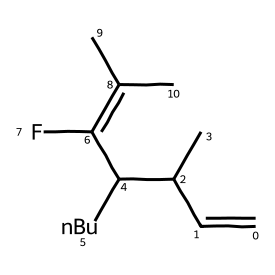 C=CC(C)C(CCCC)C(F)=C(C)C